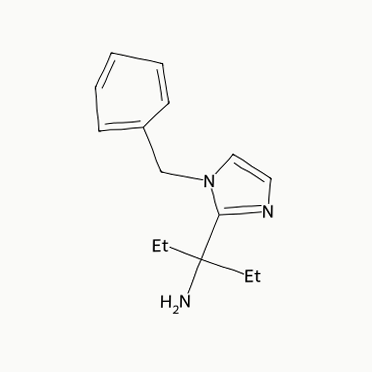 CCC(N)(CC)c1nccn1Cc1ccccc1